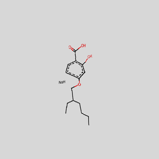 CCCCC(CC)COc1ccc(C(=O)O)c(O)c1.[NaH]